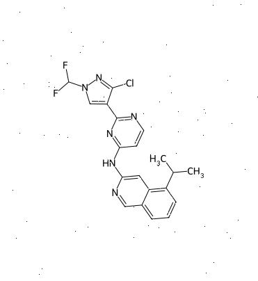 CC(C)c1cccc2cnc(Nc3ccnc(-c4cn(C(F)F)nc4Cl)n3)cc12